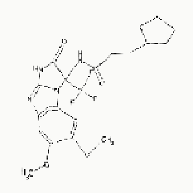 COc1cc2nc3n(c2cc1OC)C(NC(=O)CCC1CCCC1)(C(F)(F)F)C(=O)N3